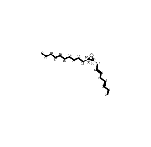 CCC=CCC=CC[C@H]1O[C@@H]1CCCCCCCCCC